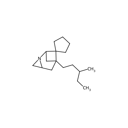 CCC(C)CCC12CC3CN3C(C1)C21CCCC1